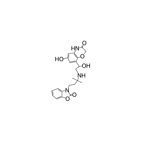 CC(C)(CCn1c(=O)oc2ccccc21)NCC(O)c1cc(O)cc2c1OCC(=O)N2